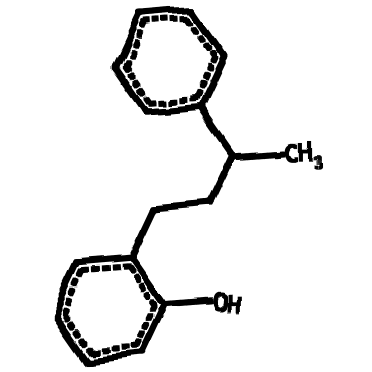 CC(CCc1ccccc1O)c1ccccc1